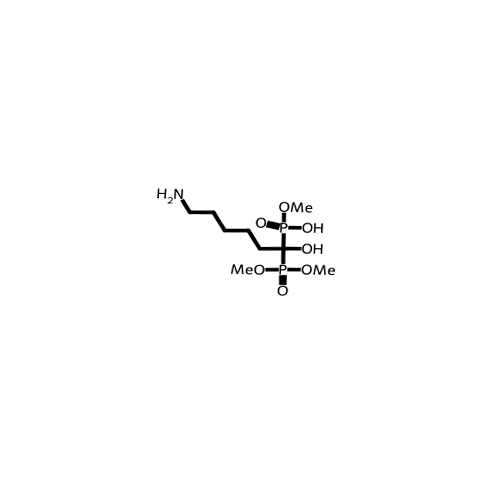 COP(=O)(O)C(O)(CCCCCN)P(=O)(OC)OC